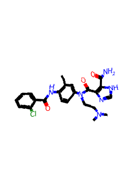 Cc1cc(N(CCN(C)C)C(=O)c2nc[nH]c2C(N)=O)ccc1NC(=O)c1ccccc1Cl